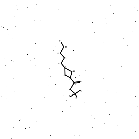 C=C(CC(C)(C)C)C1CC(CCCCC)C1